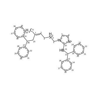 CC(=CC[SiH2]Cn1ccnc1BC(c1ccccc1)c1ccccc1)CC(c1ccccc1)c1ccccc1